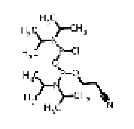 CC(C)N(C(C)C)P(Cl)OP(OCCC#N)N(C(C)C)C(C)C